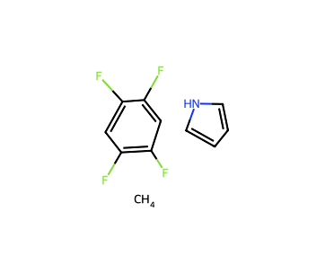 C.Fc1cc(F)c(F)cc1F.c1cc[nH]c1